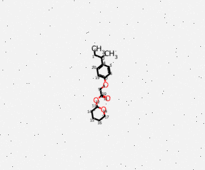 CCC(C)c1ccc(OCC(=O)OC2CCCCO2)cc1